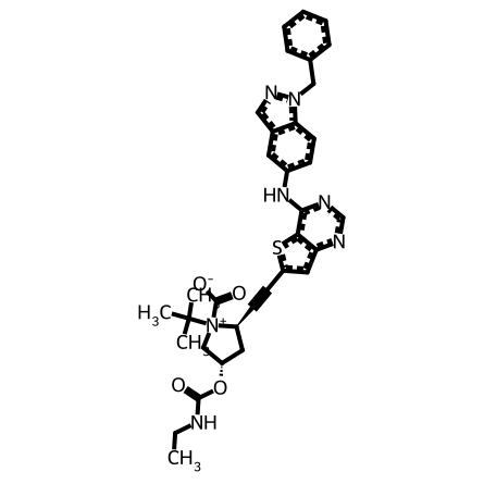 CCNC(=O)O[C@H]1C[C@H](C#Cc2cc3ncnc(Nc4ccc5c(cnn5Cc5ccccc5)c4)c3s2)[N+](C(=O)[O-])(C(C)(C)C)C1